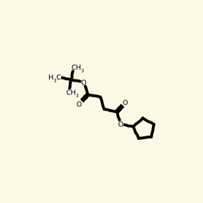 CC(C)(C)OC(=O)CCC(=O)OC1CCCC1